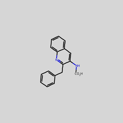 O=C(O)Nc1cc2ccccc2nc1Cc1ccccc1